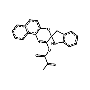 C=C(C)C(=O)OC1=Nc2c(ccc3ccccc23)OC12Cc1ccccc1N2